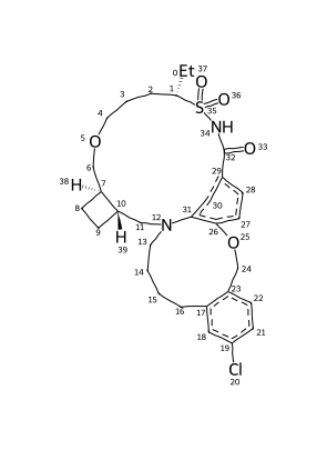 CC[C@H]1CCCOC[C@@H]2CC[C@H]2CN2CCCCc3cc(Cl)ccc3COc3ccc(cc32)C(=O)NS1(=O)=O